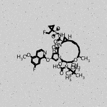 COc1cc(F)cc2c(O[C@@H]3C[C@H]4C(=O)N[C@]5(C(=O)NS(=O)(=O)C6(CF)CC6)C[C@H]5/C=C\CC[C@@H](C)O[C@@H](C)[C@H](N(C(=O)O)C(C)(C)C(C)(F)F)C(=O)N4C3)nccc12